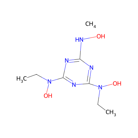 C.CCN(O)c1nc(NO)nc(N(O)CC)n1